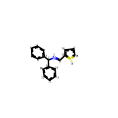 C(=NC(c1ccccc1)c1ccccc1)c1cccs1